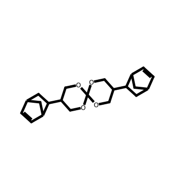 C1=CC2CC1CC2C1COC2(OC1)OCC(C1CC3C=CC1C3)CO2